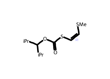 CS/C=C\SC(=O)OC(C(C)C)C(C)C